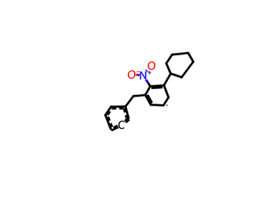 O=[N+]([O-])C1=C(C2CCCCC2)C[CH]C=C1Cc1ccccc1